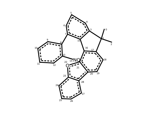 CC1(C)c2cccc(-c3ccccc3N=O)c2-c2c1ccc1c2oc2ccccc21